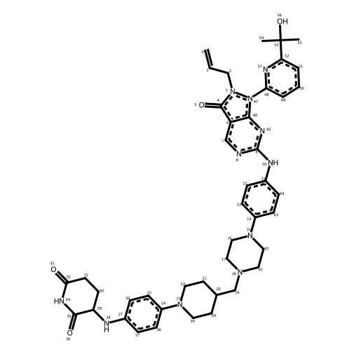 C=CCn1c(=O)c2cnc(Nc3ccc(N4CCN(CC5CCN(c6ccc(NC7CCC(=O)NC7=O)cc6)CC5)CC4)cc3)nc2n1-c1cccc(C(C)(C)O)n1